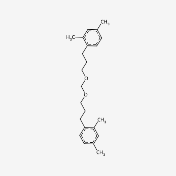 Cc1ccc(CCCOCOCCCc2ccc(C)cc2C)c(C)c1